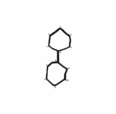 [CH]1CCCCC1[C]1CCCCC1